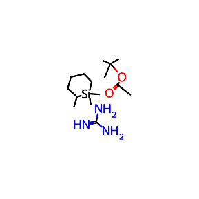 CC(=O)OC(C)(C)C.CC1CCCC[Si]1(C)C.N=C(N)N